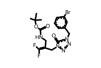 CC(C)(C)OC(=O)NCC(Cn1nnn(Cc2cccc(Br)c2)c1=O)=C(F)F